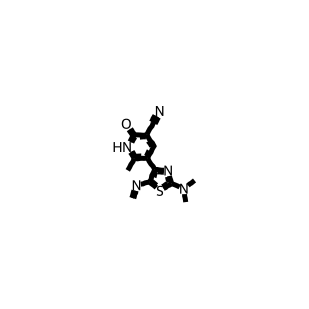 C=Nc1sc(N(C)C)nc1-c1cc(C#N)c(=O)[nH]c1C